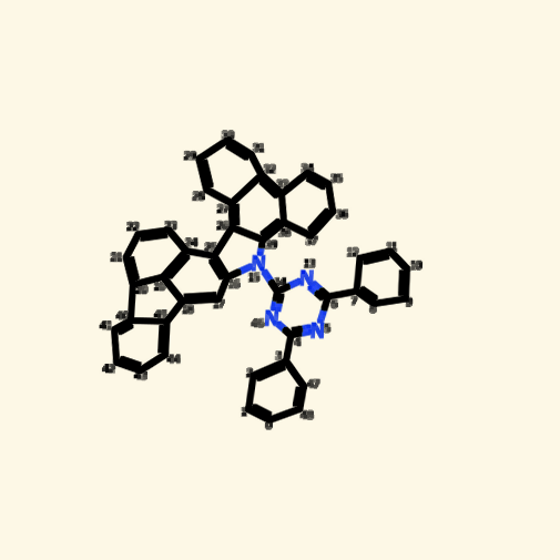 c1ccc(-c2nc(-c3ccccc3)nc(-n3c4cc5c6c(cccc6c4c4c6ccccc6c6ccccc6c43)-c3ccccc3-5)n2)cc1